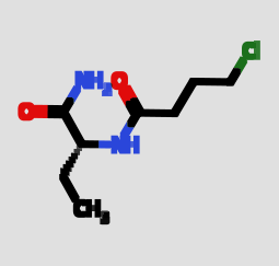 CC[C@@H](NC(=O)CCCCl)C(N)=O